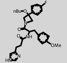 CCCCOC1(c2ccc(F)cc2)CN(C(=O)C(Cc2ccc(OC)cc2)NC(=O)CCc2c[nH]cn2)C1